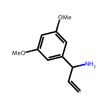 [CH]=CC(N)c1cc(OC)cc(OC)c1